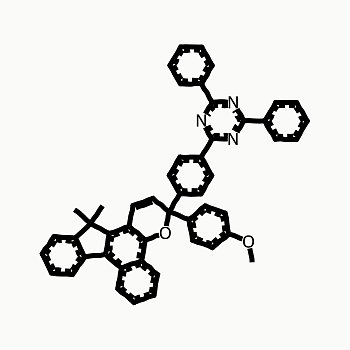 COc1ccc(C2(c3ccc(-c4nc(-c5ccccc5)nc(-c5ccccc5)n4)cc3)C=Cc3c4c(c5ccccc5c3O2)-c2ccccc2C4(C)C)cc1